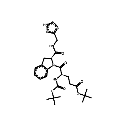 CC(C)(C)OC(=O)CC[C@@H](NC(=O)OC(C)(C)C)C(=O)N1c2ccccc2C[C@H]1C(=O)NCc1nn[nH]n1